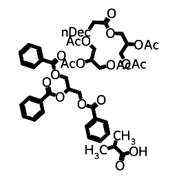 CC(=O)OCC(COC(C)=O)OC(C)=O.CC(C)C(=O)O.CCCCCCCCCCCC(=O)OCC(COC(C)=O)OC(C)=O.O=C(OCC(COC(=O)c1ccccc1)OC(=O)c1ccccc1)c1ccccc1